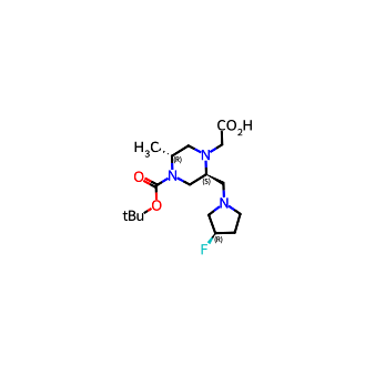 C[C@@H]1CN(CC(=O)O)[C@@H](CN2CC[C@@H](F)C2)CN1C(=O)OC(C)(C)C